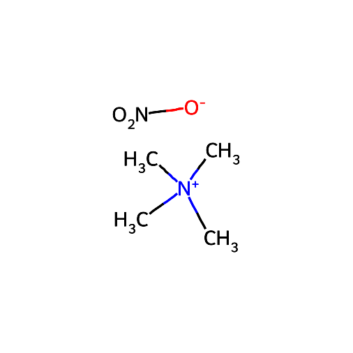 C[N+](C)(C)C.O=[N+]([O-])[O-]